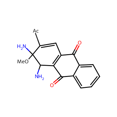 COC1(N)C(C(C)=O)=CC2=C(C(=O)c3ccccc3C2=O)C1N